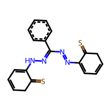 S=C1CC=CC=C1N=NC(=NNC1=CC=CCC1=S)c1ccccc1